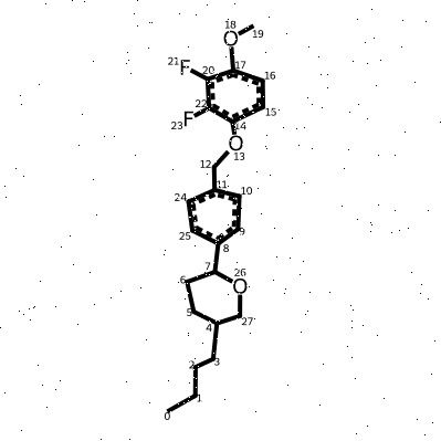 CCCCC1CCC(c2ccc(COc3ccc(OC)c(F)c3F)cc2)OC1